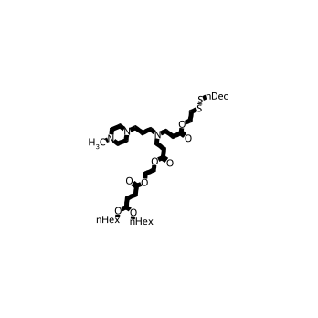 CCCCCCCCCCSSCCOC(=O)CCN(CCCN1CCN(C)CC1)CCC(=O)OCCOC(=O)CCC(OCCCCCC)OCCCCCC